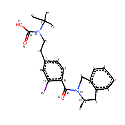 C[C@@H]1Cc2ccccc2CN1C(=O)c1ccc(CCN(C(=O)O)C(C)(C)C)cc1I